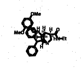 CCNC(=O)[C@H]1CN2CC[C@@H]1[C@@H](NCc1cc(OC)ccc1OC)[C@H]2C(c1ccccc1)c1ccccc1